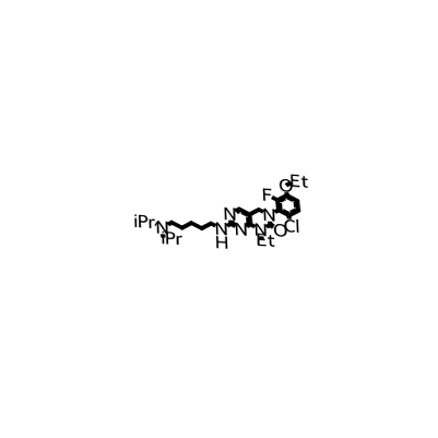 CCOc1ccc(Cl)c(N2Cc3cnc(NCCCCCN(C(C)C)C(C)C)nc3N(CC)C2=O)c1F